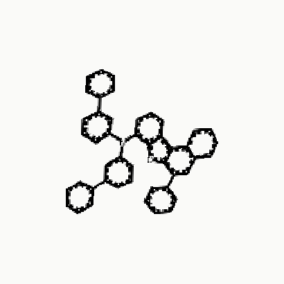 c1ccc(-c2cccc(N(c3cccc(-c4ccccc4)c3)c3cccc4c3oc3c(-c5ccccc5)cc5ccccc5c34)c2)cc1